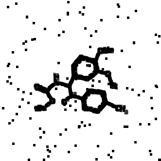 CCOc1cc(C(NC(=O)OC(C)(C)C)[S+]([O-])c2ccc(C)cc2)ccc1OC